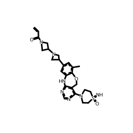 C=CC(=O)N1CC(N2CC(c3cc(C)c4c(c3)Nc3ncnc(N5CCS(=N)(=O)CC5)c3CO4)C2)C1